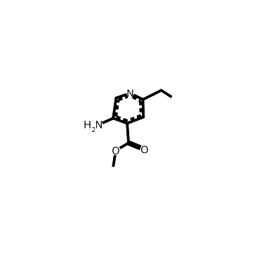 CCc1cc(C(=O)OC)c(N)cn1